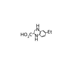 CCc1ccc2c(c1)NCC(C(=O)O)N2